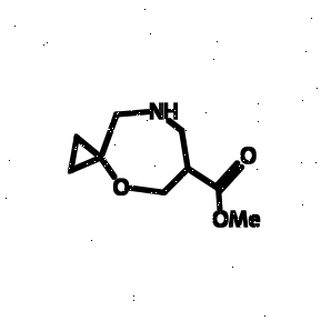 COC(=O)C1CNCC2(CC2)OC1